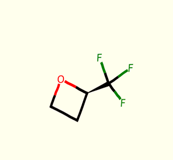 FC(F)(F)[C@H]1CCO1